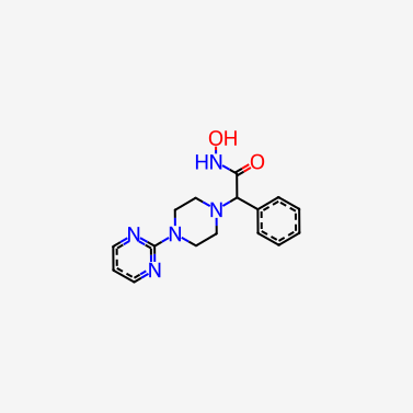 O=C(NO)C(c1ccccc1)N1CCN(c2ncccn2)CC1